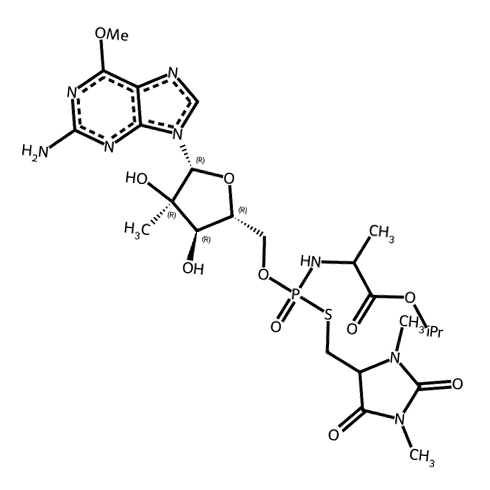 COc1nc(N)nc2c1ncn2[C@@H]1O[C@H](COP(=O)(NC(C)C(=O)OC(C)C)SCC2C(=O)N(C)C(=O)N2C)[C@@H](O)[C@@]1(C)O